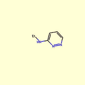 [CH2]CNc1cccnn1